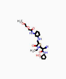 CCn1c(=C(C#N)C(=O)N[C@H]2CCC[C@@H]2O)sc(=CNc2cccc(NC(=O)COCCOC)c2)c1=O